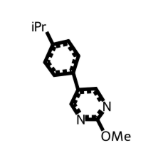 COc1ncc(-c2ccc(C(C)C)cc2)cn1